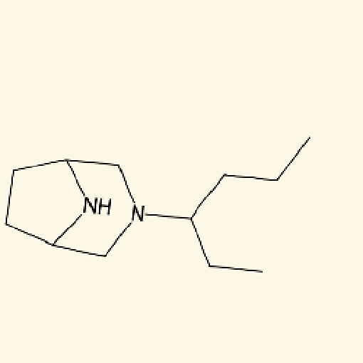 CCCC(CC)N1CC2CCC(C1)N2